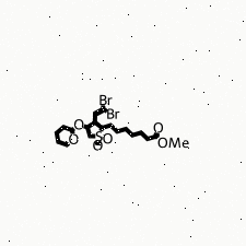 COC(=O)CCCCCCC1C(C=C(Br)Br)C(OC2CCCCO2)CS1(=O)=O